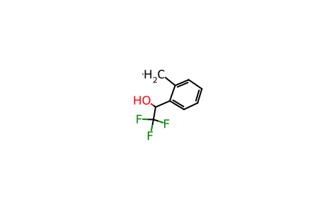 [CH2]c1ccccc1C(O)C(F)(F)F